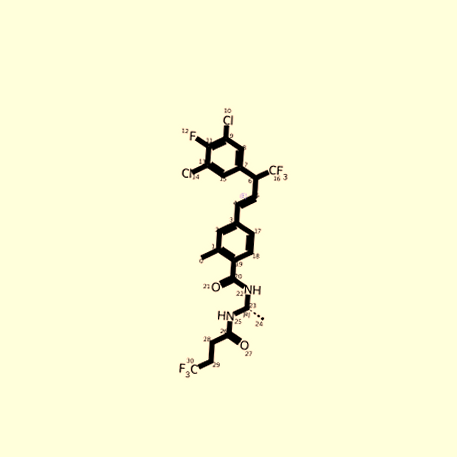 Cc1cc(/C=C/C(c2cc(Cl)c(F)c(Cl)c2)C(F)(F)F)ccc1C(=O)N[C@H](C)NC(=O)CCC(F)(F)F